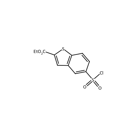 CCOC(=O)c1cc2cc(S(=O)(=O)Cl)ccc2s1